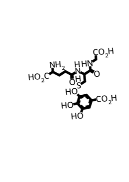 NC(CCC(=O)NC(CS)C(=O)NCC(=O)O)C(=O)O.O=C(O)c1cc(O)c(O)c(O)c1